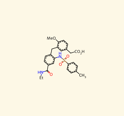 CCNC(=O)c1ccc(Cc2cc(CC(=O)O)ccc2OC)c(NS(=O)(=O)c2ccc(C)cc2)c1